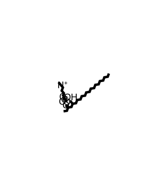 CCCCCCCCCCCCCCCCC(COP(=O)(O)OCCC[N+](C)(C)C)CC(=O)CC